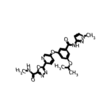 CNC(=O)c1nnc(-c2ccc(Oc3cc(OC(C)C)cc(C(=O)Nc4ccn(C)n4)c3)cn2)o1